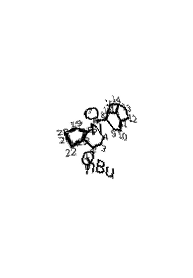 CCCCOC1CCN(C(=O)C23CC=C4CCC(C2)C4C3)c2ccccc21